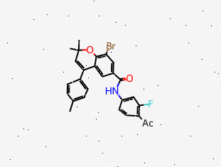 CC(=O)c1ccc(NC(=O)c2cc(Br)c3c(c2)C(c2ccc(C)cc2)=CC(C)(C)O3)cc1F